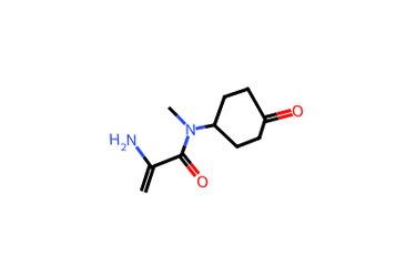 C=C(N)C(=O)N(C)C1CCC(=O)CC1